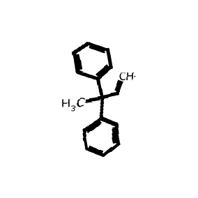 [CH]=CC(C)(c1ccccc1)c1ccccc1